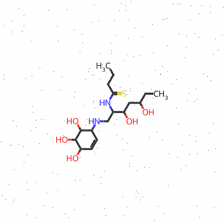 CCCC(=S)NC(CNC1C=CC(O)C(O)C1O)C(O)CC(O)CC